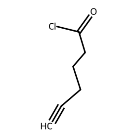 C#CCCCC(=O)Cl